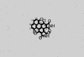 O=c1[nH]c(=O)c2c1c(Cl)c1c3c(Cl)ccc4ccc(Cl)c(c5c(Cl)c6c(=O)[nH]c(=O)c6c2c15)c43